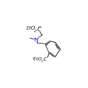 CCOC(=O)CN(C)Cc1ccccc1C(=O)OCC